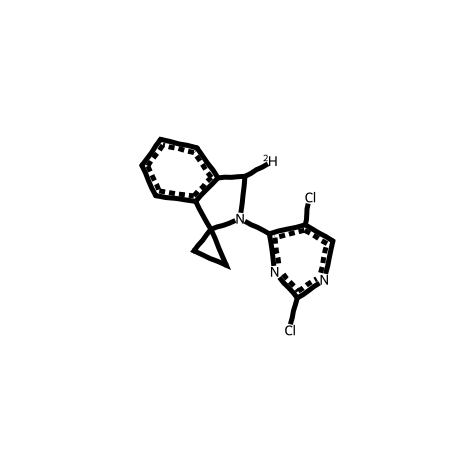 [2H]C1c2ccccc2C2(CC2)N1c1nc(Cl)ncc1Cl